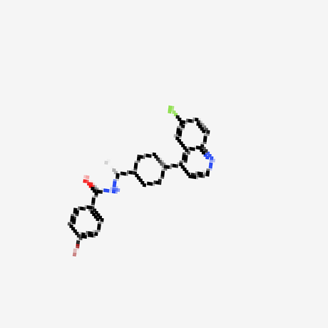 C[C@@H](NC(=O)c1ccc(Br)cc1)C1CCC(c2ccnc3ccc(F)cc23)CC1